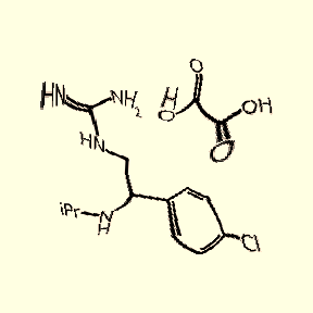 CC(C)NC(CNC(=N)N)c1ccc(Cl)cc1.O=C(O)C(=O)O